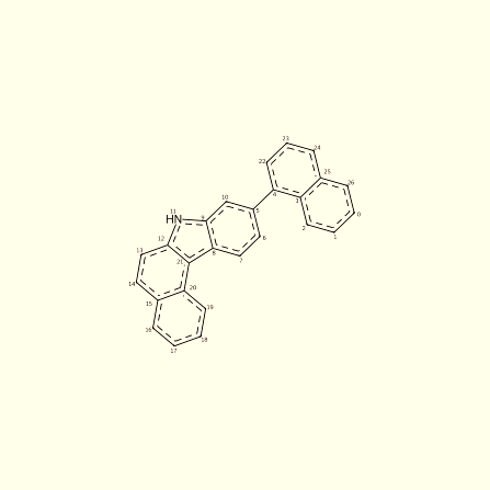 c1ccc2c(-c3ccc4c(c3)[nH]c3ccc5ccccc5c34)cccc2c1